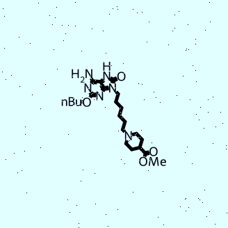 CCCCOc1nc(N)c2[nH]c(=O)n(CCCCCCN3CCC(C(=O)OC)CC3)c2n1